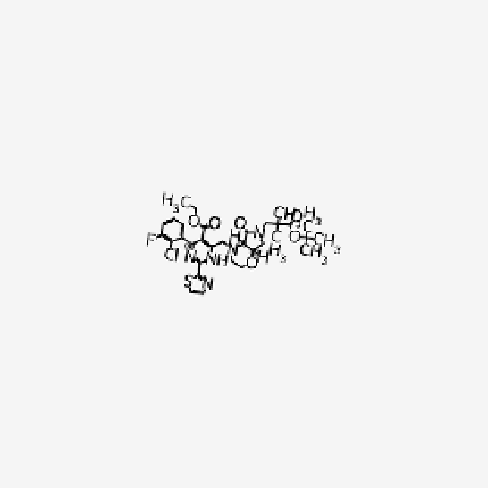 CCOC(=O)C1=C(CN2CCO[C@H]3CN(CC(C)(C)C(=O)OC(C)(C)C)C(=O)[C@H]32)NC(c2nccs2)=N[C@H]1c1cccc(F)c1Cl